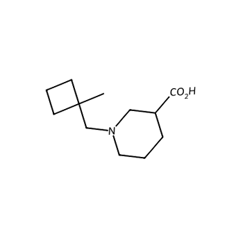 CC1(CN2CCCC(C(=O)O)C2)CCC1